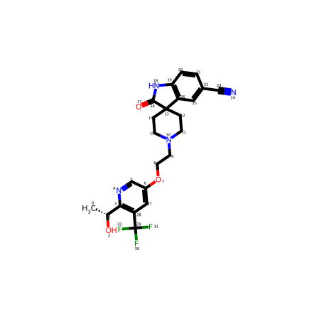 C[C@@H](O)c1ncc(OCCN2CCC3(CC2)C(=O)Nc2ccc(C#N)cc23)cc1C(F)(F)F